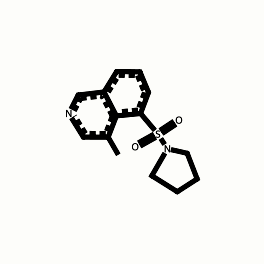 Cc1cncc2cccc(S(=O)(=O)N3CCCC3)c12